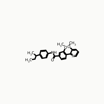 CCC(C)c1ccc(NC(=O)c2ccc(-c3ncccc3OC)c(OC)c2)cc1